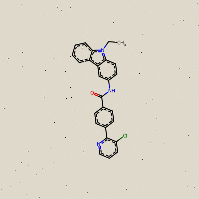 CCn1c2ccccc2c2cc(NC(=O)c3ccc(-c4ncccc4Cl)cc3)ccc21